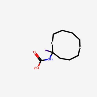 O=C(O)NC1(I)CCCCCCCCC1